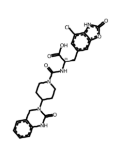 O=C(O)[C@@H](Cc1cc(Cl)c2[nH]c(=O)oc2c1)NC(=O)N1CCC(N2Cc3ccccc3NC2=O)CC1